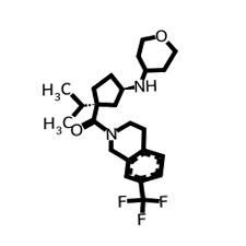 CC(C)[C@]1(C(=O)N2CCc3ccc(C(F)(F)F)cc3C2)CC[C@@H](NC2CCOCC2)C1